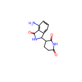 Nc1cccc2c1C(=O)NC2C1CCC(=O)NC1=O